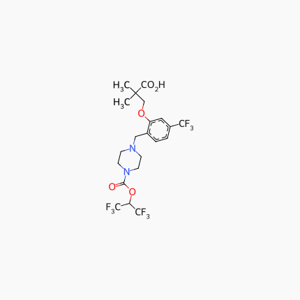 CC(C)(COc1cc(C(F)(F)F)ccc1CN1CCN(C(=O)OC(C(F)(F)F)C(F)(F)F)CC1)C(=O)O